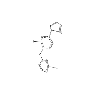 Cc1ccnc(Oc2ccc(C3C=CC=N3)cc2F)n1